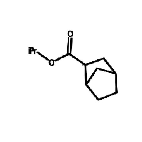 CC(C)OC(=O)[C]1CC2CCC1C2